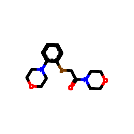 O=C(CSc1ccccc1N1CCOCC1)N1CCOCC1